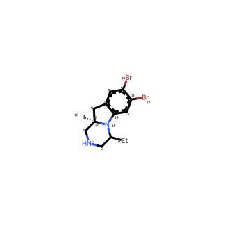 CCC1CNC[C@H]2Cc3cc(Br)c(Br)cc3N12